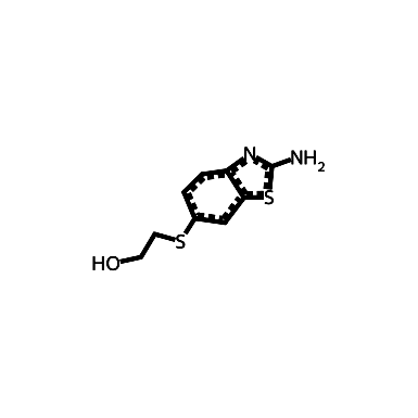 Nc1nc2ccc(SCCO)cc2s1